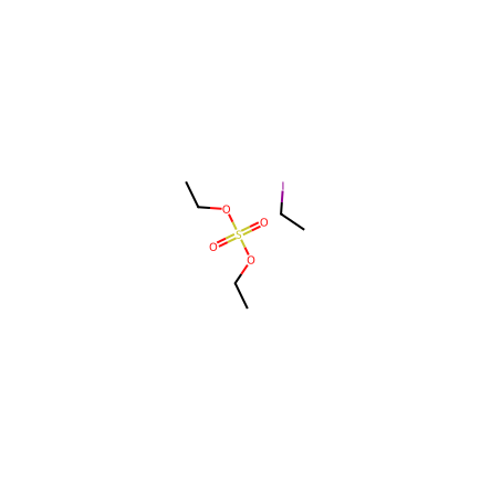 CCI.CCOS(=O)(=O)OCC